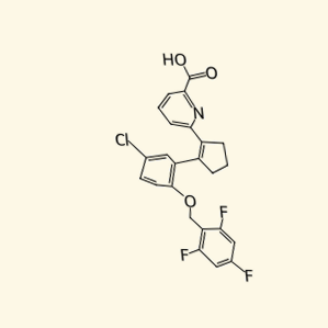 O=C(O)c1cccc(C2=C(c3cc(Cl)ccc3OCc3c(F)cc(F)cc3F)CCC2)n1